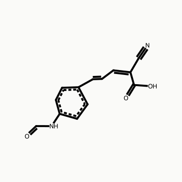 N#CC(=CC=Cc1ccc(NC=O)cc1)C(=O)O